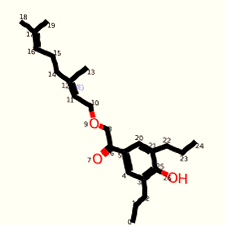 CCCc1cc(C(=O)COC/C=C(\C)CCC=C(C)C)cc(CCC)c1O